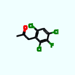 CC(=O)Cc1c(Cl)cc(Cl)c(F)c1Cl